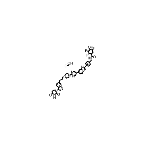 O=C1CCN(c2cnn3cc(CCCN4CCN(c5ncc(-c6ccn7cc(C89CCC(CNC(=O)c%10cc(F)c(O)c(F)c%10F)(CC8)CC9)nc7c6)cn5)CC4)ccc23)C(=O)N1.O=CO